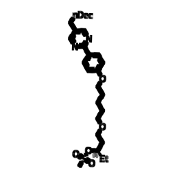 CCCCCCCCCCCc1cnc(-c2ccc(OCCCCCOCC[C@H](CC)OS(C)(=O)=O)cc2)nc1